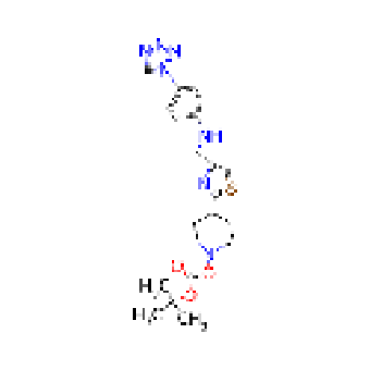 CC(C)(C)OC(=O)ON1CCC(c2nc(CNc3ccc(-n4cnnn4)cc3)cs2)CC1